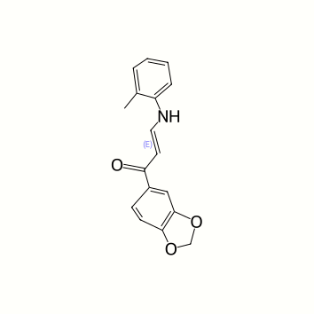 Cc1ccccc1N/C=C/C(=O)c1ccc2c(c1)OCO2